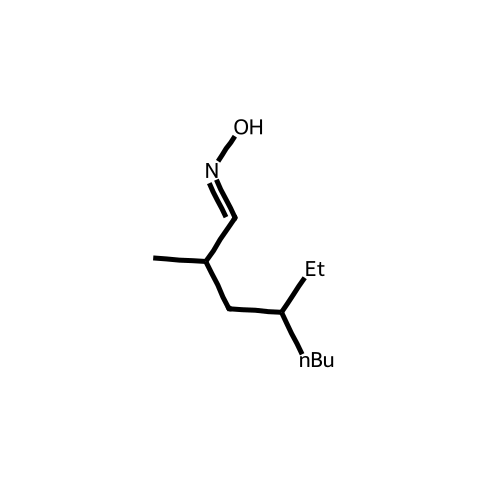 CCCCC(CC)CC(C)C=NO